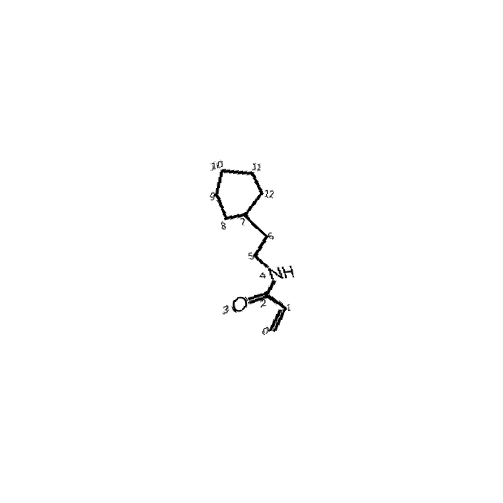 C=CC(=O)NCCC1CCCCC1